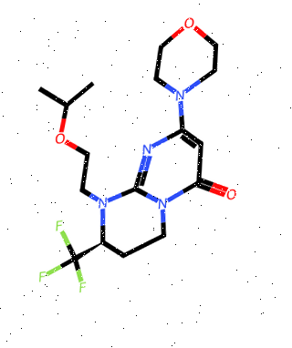 CC(C)OCCN1c2nc(N3CCOCC3)cc(=O)n2CC[C@H]1C(F)(F)F